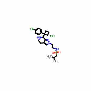 CC(C)CS(=O)(=O)NCCn1cc2c(n1)C(C1(c3ccc(Cl)cc3)CCC1)NCC2.Cl